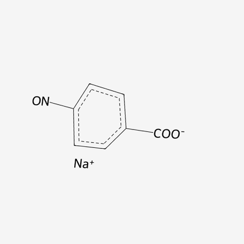 O=Nc1ccc(C(=O)[O-])cc1.[Na+]